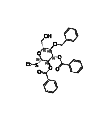 CCS[C@@H]1O[C@H](CO)[C@@H](OCc2ccccc2)[C@H](OC(=O)c2ccccc2)[C@H]1OC(=O)c1ccccc1